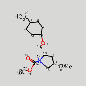 CO[C@H]1C[C@@H](COC2CCC(C(=O)O)CC2)N(C(=O)OC(C)(C)C)C1